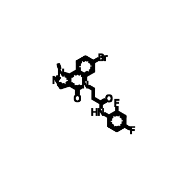 Cn1ncc2c(=O)n(CCC(=O)Nc3ccc(F)cc3F)c3cc(Br)ccc3c21